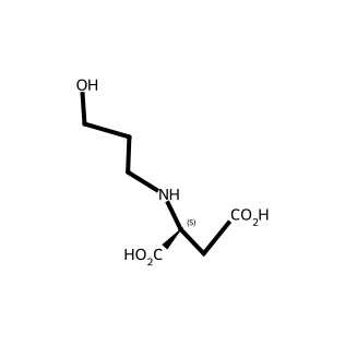 O=C(O)C[C@H](NCCCO)C(=O)O